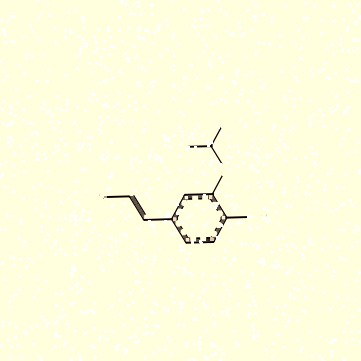 COc1ccc(C=C[N+](=O)[O-])cc1OC(F)F